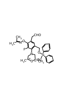 CC(C)=NOc1c(CC=O)cc(CO[Si](c2ccccc2)(c2ccccc2)C(C)(C)C)c(N2C[C@@H](C)O[C@@H](C)C2)c1F